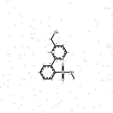 CNS(=O)(=O)c1ccccc1-c1nccc(CO)n1